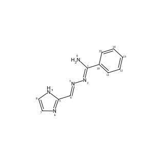 N/C(=N\N=C\c1ncc[nH]1)c1ccccc1